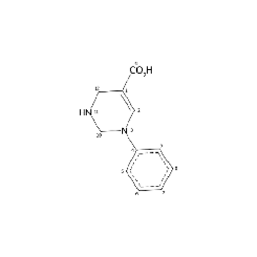 O=C(O)C1=CN(c2ccccc2)CNC1